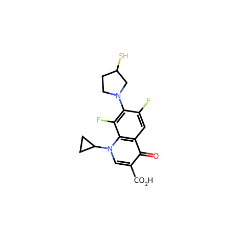 O=C(O)c1cn(C2CC2)c2c(F)c(N3CCC(S)C3)c(F)cc2c1=O